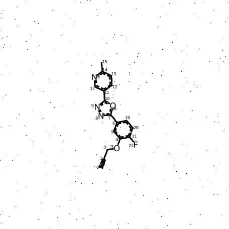 C#CCOc1cc(-c2nnc(-c3ccc(C)nc3)o2)ccc1F